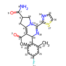 COC(=O)C1=C2CC(C(N)=O)CN2C(c2nccs2)=NC1c1ccc(F)cc1C